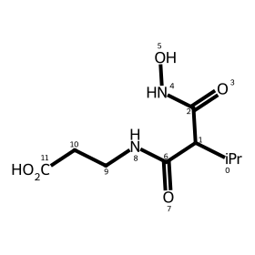 CC(C)C(C(=O)NO)C(=O)NCCC(=O)O